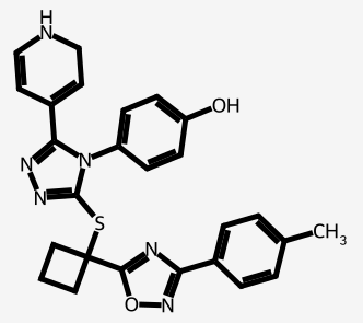 Cc1ccc(-c2noc(C3(Sc4nnc(C5=CCNC=C5)n4-c4ccc(O)cc4)CCC3)n2)cc1